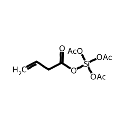 C=CCC(=O)O[Si](OC(C)=O)(OC(C)=O)OC(C)=O